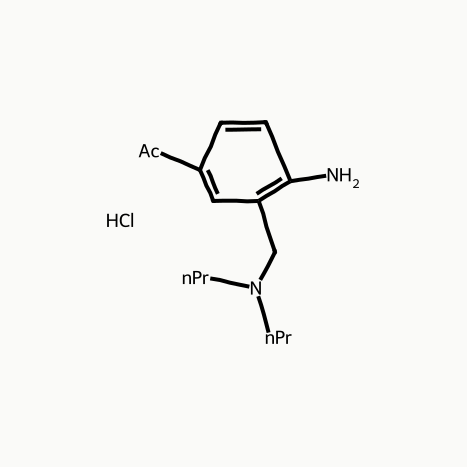 CCCN(CCC)Cc1cc(C(C)=O)ccc1N.Cl